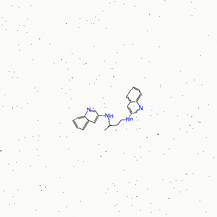 CC(CCNc1cnc2ccccc2c1)Nc1cnc2ccccc2c1